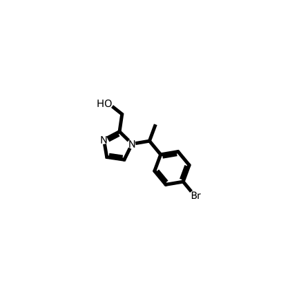 CC(c1ccc(Br)cc1)n1ccnc1CO